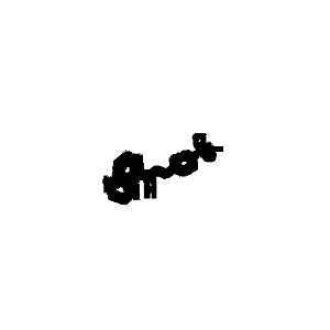 O=[N+]([O-])c1ccc(CCNc2nccc3nccnc23)cc1